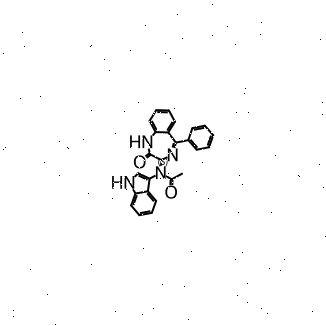 CC(=O)N(c1c[nH]c2ccccc12)[C@@H]1N=C(c2ccccc2)c2ccccc2NC1=O